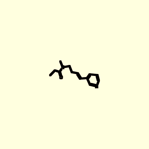 CCC(=O)N(C)CCC=Cc1cccnc1